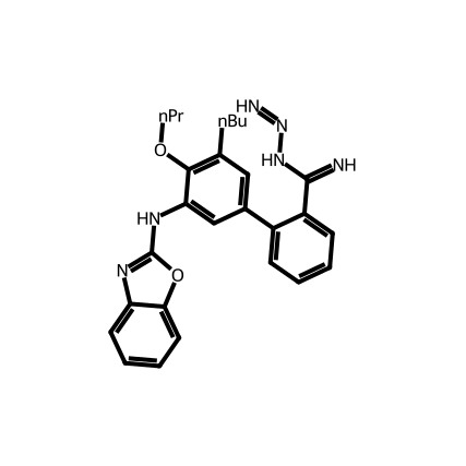 CCCCc1cc(-c2ccccc2C(=N)NN=N)cc(Nc2nc3ccccc3o2)c1OCCC